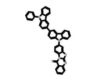 S=c1c2ccccc2nc2sc3cc(-n4c5ccccc5c5cc(-c6ccc7c(c6)c6ccccc6n7-c6ccccc6)ccc54)ccc3n12